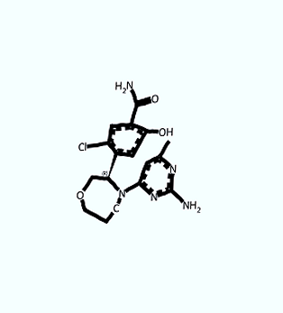 Cc1cc(N2CCCOC[C@H]2c2cc(O)c(C(N)=O)cc2Cl)nc(N)n1